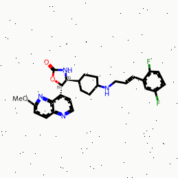 COc1ccc2nccc([C@@H]3OC(=O)N[C@H]3C3CCC(NCC=Cc4cc(F)ccc4F)CC3)c2n1